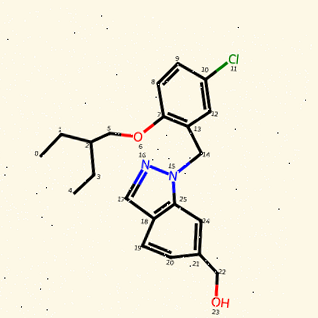 CCC(CC)COc1ccc(Cl)cc1Cn1ncc2ccc(CO)cc21